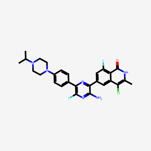 Cc1[nH]c(=O)c2c(F)cc(-c3nc(-c4ccc(N5CCN(C(C)C)CC5)cc4)c(F)nc3N)cc2c1Cl